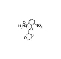 NS(=O)(=O)c1cccc([N+](=O)[O-])c1OC[C@@H]1COCCO1